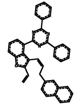 C=Cc1oc2cccc(-c3nc(-c4ccccc4)nc(-c4ccccc4)n3)c2c1/C=C\Cc1ccc2ccccc2c1